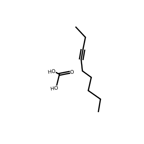 CCC#CCCCCC.O=C(O)O